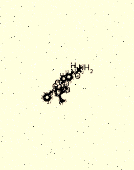 CC(C)(N)C(=O)Nc1ccc2c(c1)CCC21OC(=O)N(CC(=O)N(Cc2ccccc2)CC(C2CC2)C2CC2)C1=O